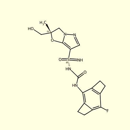 C[C@@]1(CO)Cn2ncc([S@@](=N)(=O)NC(=O)Nc3c4c(c(F)c5c3CC5)CC4)c2O1